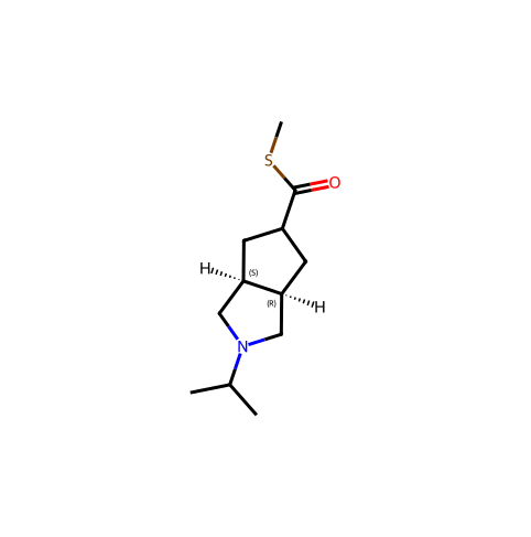 CSC(=O)C1C[C@@H]2CN(C(C)C)C[C@@H]2C1